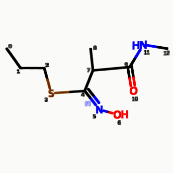 CCCS/C(=N/O)C(C)C(=O)NC